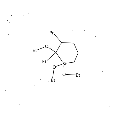 CCOC1(CC)C(C(C)C)CCC[Si]1(OCC)OCC